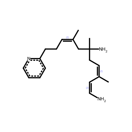 CC(/C=C\N)=C/CC(C)(N)C/C(C)=C\CCc1ccccn1